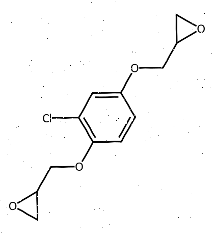 Clc1cc(OCC2CO2)ccc1OCC1CO1